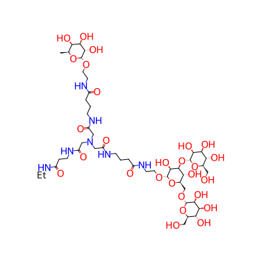 CCNC(=O)CCNC(=O)CN(CC(=O)NCCCC(=O)NCCO[C@@H]1O[C@@H](C)[C@@H](O)[C@@H](O)[C@@H]1O)CC(=O)NCCCC(=O)NCCO[C@H]1O[C@H](CO[C@H]2O[C@H](CO)[C@@H](O)[C@H](O)[C@@H]2O)[C@@H](O)[C@H](O[C@H]2O[C@H](CO)[C@@H](O)[C@H](O)[C@@H]2O)[C@@H]1O